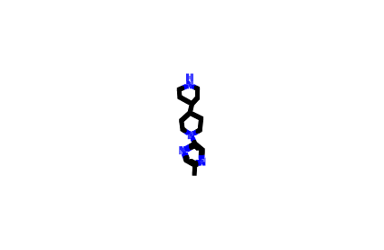 Cc1cnc(N2CCC(C3CCNCC3)CC2)cn1